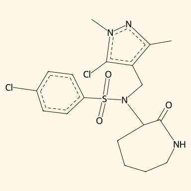 Cc1nn(C)c(Cl)c1CN(C1CCCCNC1=O)S(=O)(=O)c1ccc(Cl)cc1